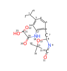 CC(C)c1ccc(CC(N=C=O)OC(C)(C)C)c(NC(=O)C(=O)O)c1